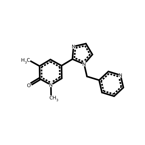 Cc1cc(-c2nccn2Cc2cccnc2)cn(C)c1=O